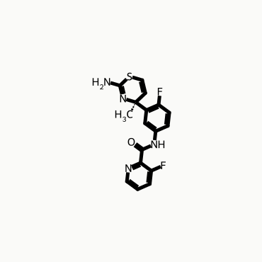 C[C@@]1(c2cc(NC(=O)c3ncccc3F)ccc2F)C=CSC(N)=N1